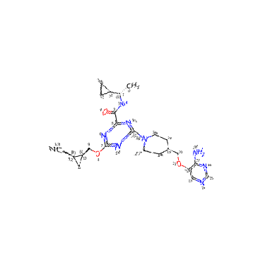 C[C@H](NC(=O)c1nc(OC[C@H]2C[C@H]2C#N)nc(N2CCC(COc3cncnc3N)CC2)n1)C1CC1